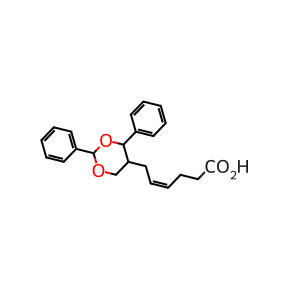 O=C(O)CC/C=C\CC1COC(c2ccccc2)OC1c1ccccc1